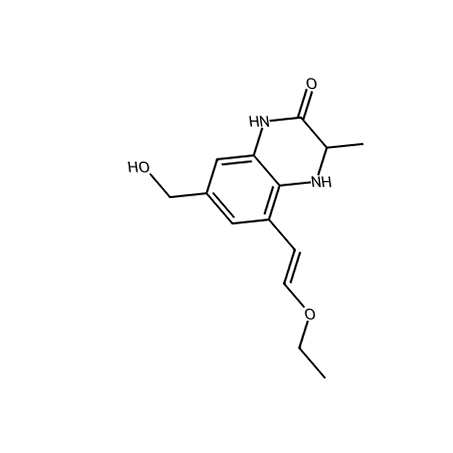 CCOC=Cc1cc(CO)cc2c1NC(C)C(=O)N2